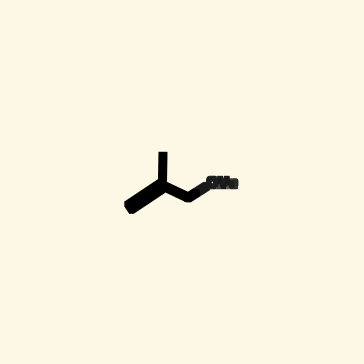 [CH]OCC(=C)C